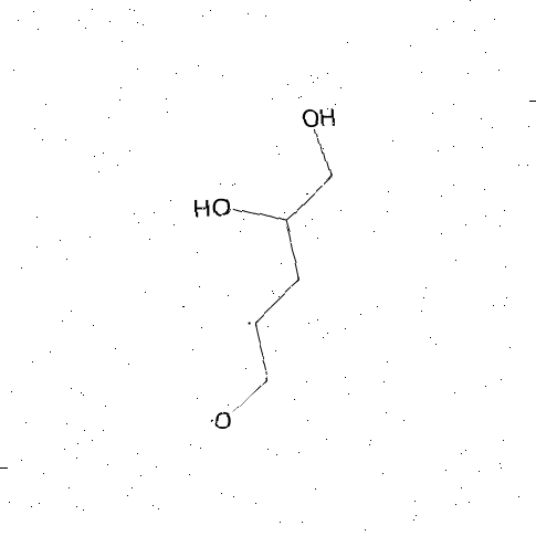 [O]C[CH]CC(O)CO